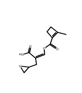 CC1=C(C(=O)OC=C(CC2CO2)C(=O)O)CC1